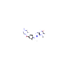 CCC1C(=O)N(C)c2cnc(Nc3ccc(C(=O)N4CCN(C)CC4)cc3OC)nc2N1C(C)C